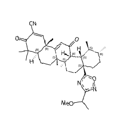 COC(C)c1noc([C@]23CC[C@@H](C)[C@H](C)[C@H]2[C@H]2C(=O)C=C4[C@@]5(C)C=C(C#N)C(=O)C(C)(C)[C@@H]5CC[C@@]4(C)[C@]2(C)CC3)n1